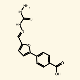 NNC(=O)NN=Cc1ccc(-c2ccc(C(=O)O)cc2)o1